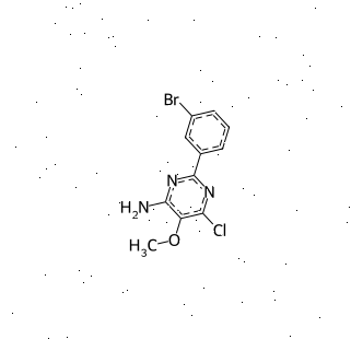 COc1c(N)nc(-c2cccc(Br)c2)nc1Cl